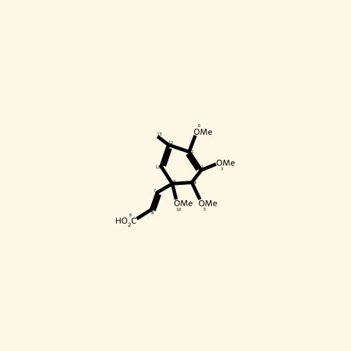 COC1=C(OC)C(OC)C(/C=C/C(=O)O)(OC)C=C1C